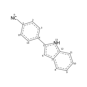 N#Cc1ccc(-c2cc3c[c]ccc3[nH]2)cc1